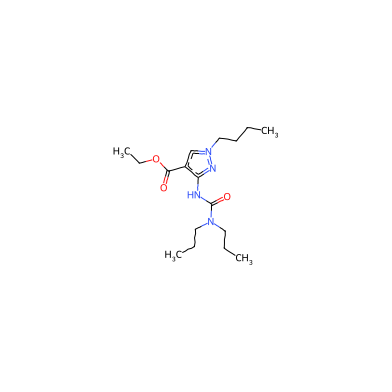 CCCCn1cc(C(=O)OCC)c(NC(=O)N(CCC)CCC)n1